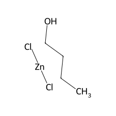 CCCCO.[Cl][Zn][Cl]